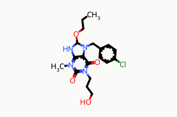 CCCOC1Nc2c(c(=O)n(CCCO)c(=O)n2C)N1Cc1ccc(Cl)cc1